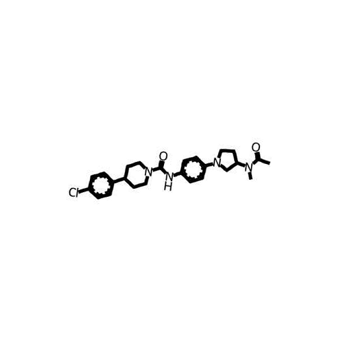 CC(=O)N(C)C1CCN(c2ccc(NC(=O)N3CCC(c4ccc(Cl)cc4)CC3)cc2)C1